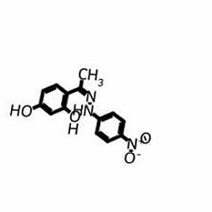 CC(=NNc1ccc([N+](=O)[O-])cc1)c1ccc(O)cc1O